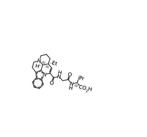 CC[C@@]12C=C(C(=O)NCC(=O)N[C@H](C(=O)O)C(C)C)n3c4c(c5ccccc53)CCN(CCC1)[C@H]42